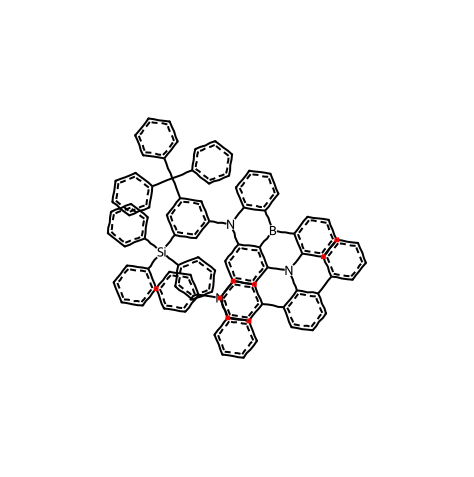 c1ccc(-c2cccc(-c3ccccc3)c2N2c3ccccc3B3c4ccccc4N(c4cc(C(c5ccccc5)(c5ccccc5)c5ccccc5)cc([Si](c5ccccc5)(c5ccccc5)c5ccccc5)c4)c4cc(N(c5ccccc5)c5ccccc5)cc2c43)cc1